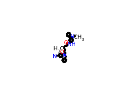 CCn1c2ccccc2c2cc(NC(=O)CCC(C)CC(=O)CN(Cc3ccccc3)c3ccc(C#N)cc3)ccc21